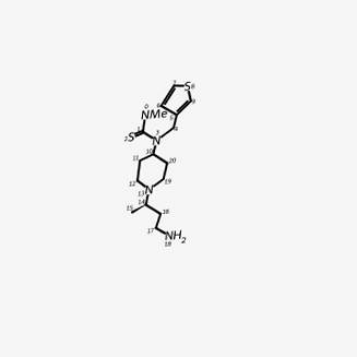 CNC(=S)N(Cc1ccsc1)C1CCN([C@H](C)CCN)CC1